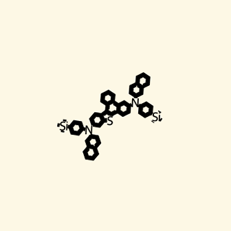 C[Si](C)(C)c1ccc(N(c2ccc3ccccc3c2)c2ccc3c(c2)sc2c4ccc(N(c5ccc([Si](C)(C)C)cc5)c5ccc6ccccc6c5)cc4c4ccccc4c32)cc1